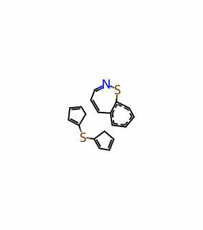 C1=CCC(SC2=CC=CC2)=C1.C1=Cc2ccccc2SN=C1